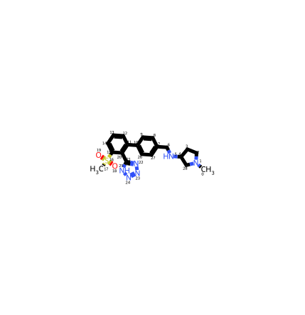 CN1CCC(NCc2ccc(-c3cccc(S(C)(=O)=O)c3-c3nnn[nH]3)cc2)C1